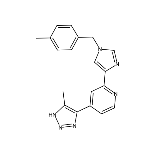 Cc1ccc(Cn2cnc(-c3cc(-c4nn[nH]c4C)ccn3)c2)cc1